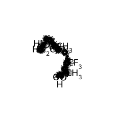 Cc1c(O[C@H]2CC[C@H](CCCN3CCN(c4ccc5c(C6CCC(=O)NC6=O)nn(C)c5c4)C[C@@H]3C(F)(F)F)CC2)cccc1-c1ccc(N2CCc3cccc(C(=O)Nc4nc5ccccc5s4)c3C2)nc1C(=O)O